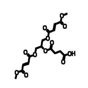 COC(=O)/C=C/C(=O)OCC(COC(=O)/C=C/C(=O)OC)OC(=O)CCC(=O)O